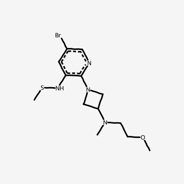 COCCN(C)C1CN(c2ncc(Br)cc2NSC)C1